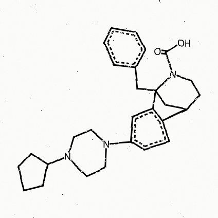 O=C(O)N1CCC2CC1(Cc1ccccc1)c1cc(N3CCN(C4CCCC4)CC3)ccc12